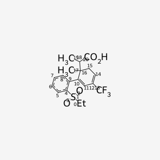 CCS(=O)(=O)c1ccccc1C1=CC(C(F)(F)F)=CCC1(C)C(C)C(=O)O